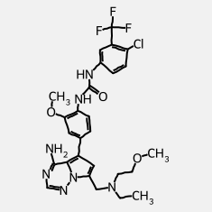 CCN(CCOC)Cc1cc(-c2ccc(NC(=O)Nc3ccc(Cl)c(C(F)(F)F)c3)c(OC)c2)c2c(N)ncnn12